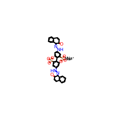 O=C1C=Cc2ccccc2/C1=N/Nc1ccc(-c2ccc(N/N=C3\C(=O)C=Cc4ccccc43)cc2S(=O)(=O)[O-])c(S(=O)(=O)[O-])c1.[Na+].[Na+]